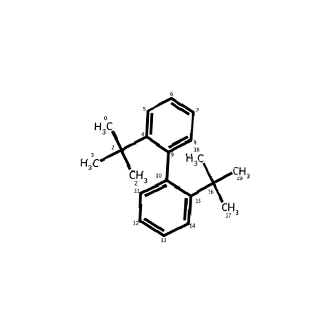 CC(C)(C)c1ccccc1-c1ccccc1C(C)(C)C